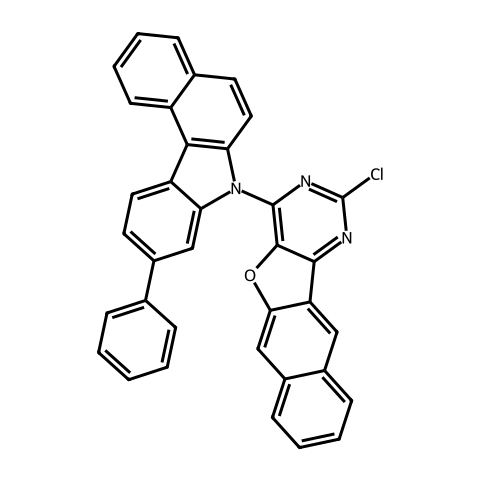 Clc1nc(-n2c3cc(-c4ccccc4)ccc3c3c4ccccc4ccc32)c2oc3cc4ccccc4cc3c2n1